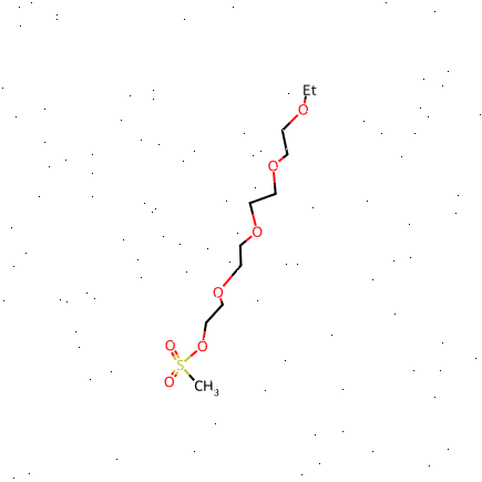 CCOCCOCCOCCOCCOS(C)(=O)=O